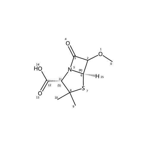 COC1C(=O)N2[C@@H]1SC(C)(C)[C@@H]2C(=O)O